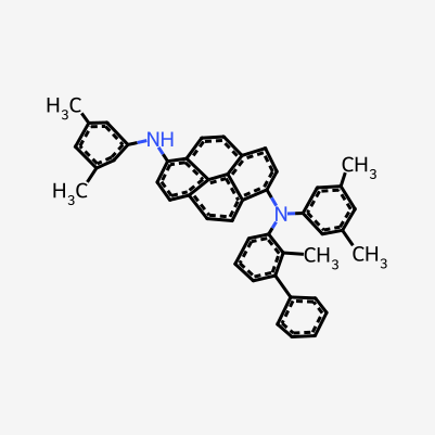 Cc1cc(C)cc(Nc2ccc3ccc4c(N(c5cc(C)cc(C)c5)c5cccc(-c6ccccc6)c5C)ccc5ccc2c3c54)c1